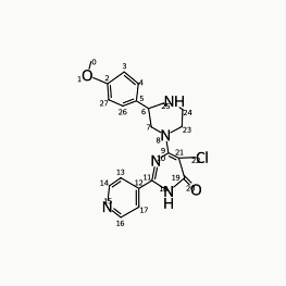 COc1ccc(C2CN(c3nc(-c4ccncc4)[nH]c(=O)c3Cl)CCN2)cc1